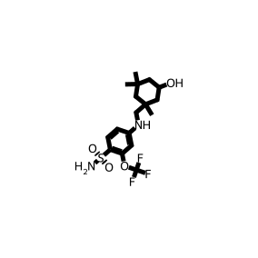 CC1(C)CC(O)CC(C)(CNc2ccc(S(N)(=O)=O)c(OC(F)(F)F)c2)C1